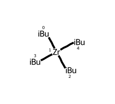 CC[CH](C)[Zr]([CH](C)CC)([CH](C)CC)[CH](C)CC